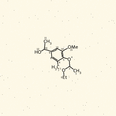 CCOC(C)Oc1c(C)cc(C(C)O)cc1OC